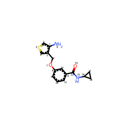 Nc1cscc1COc1cccc(C(=O)NC2CC2)c1